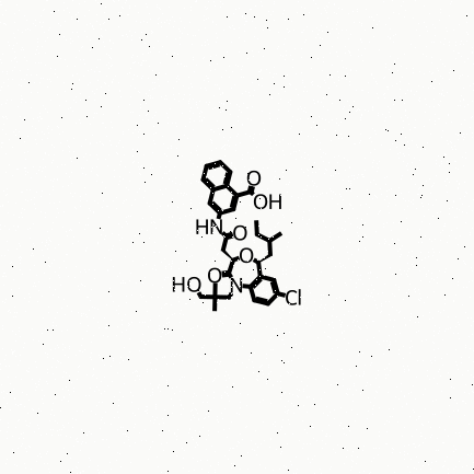 CCC(C)C[C@@H]1O[C@H](CC(=O)Nc2cc(C(=O)O)c3ccccc3c2)C(=O)N(CC(C)(C)CO)c2ccc(Cl)cc21